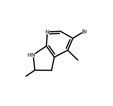 Cc1c(Br)cnc2c1CC(C)N2